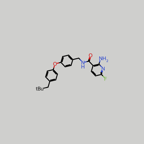 CC(C)(C)Cc1ccc(Oc2ccc(CNC(=O)c3ccc(F)nc3N)cc2)cc1